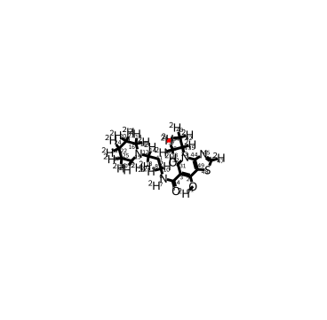 [2H]Oc1c(C(=O)N([2H])C([2H])([2H])CC([2H])([2H])N2C([2H])([2H])C([2H])([2H])C([2H])([2H])C([2H])([2H])C2([2H])[2H])c(=O)n(C([2H])(C([2H])([2H])[2H])C([2H])([2H])[2H])c2nc([2H])sc12